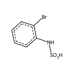 O=S(=O)(O)Nc1ccccc1Br